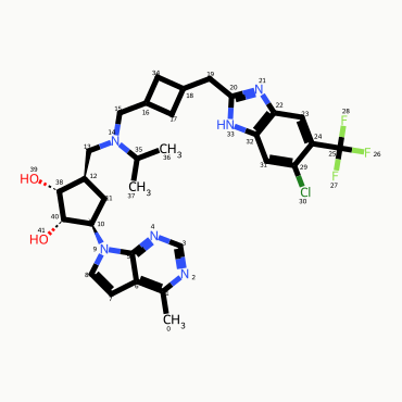 Cc1ncnc2c1ccn2[C@@H]1C[C@H](CN(CC2CC(Cc3nc4cc(C(F)(F)F)c(Cl)cc4[nH]3)C2)C(C)C)[C@@H](O)[C@H]1O